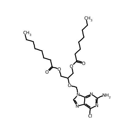 CCCCCCCC(=O)OCC(COC(=O)CCCCCCC)OCn1cnc2c(Cl)nc(N)nc21